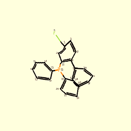 Fc1ccc(-c2ccccc2)c(P(c2ccccc2)c2ccccc2)c1